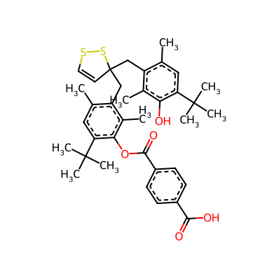 Cc1cc(C(C)(C)C)c(O)c(C)c1CC1(Cc2c(C)cc(C(C)(C)C)c(OC(=O)c3ccc(C(=O)O)cc3)c2C)C=CSS1